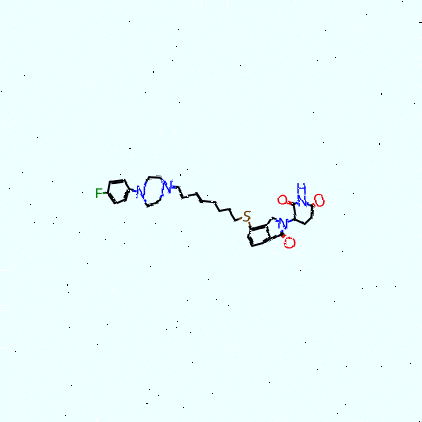 O=C1CCC(N2Cc3c(SCCCCCCCCN4CCN(c5ccc(F)cc5)CC4)cccc3C2=O)C(=O)N1